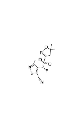 Cc1nsc(C#N)c1C(F)S(=O)(=O)C1=NOC(C)(C)C1